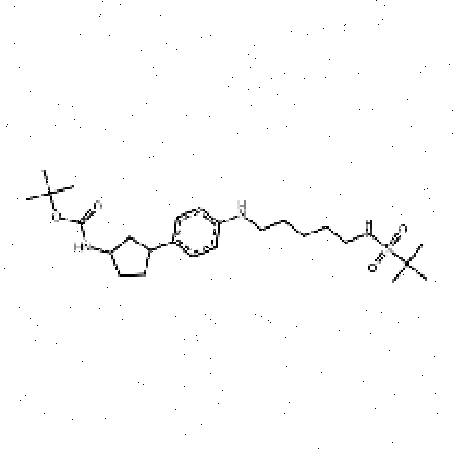 CC(C)(C)OC(=O)NC1CCC(c2ccc(NCCCCCNS(=O)(=O)C(C)(C)C)cc2)C1